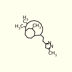 CC1=NN=C(CCC2CCCCCCC(C)C(C)C3CCCC2CC(C)C3)C1